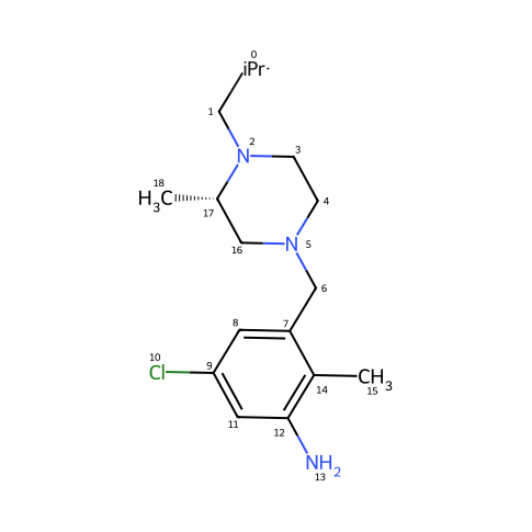 C[C](C)CN1CCN(Cc2cc(Cl)cc(N)c2C)C[C@@H]1C